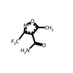 Cc1onc(C(F)(F)F)c1C(N)=O